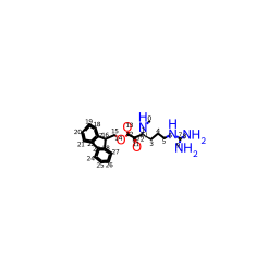 CN[C@@H](CCCNC(N)N)C(=O)C(=O)OCC1c2ccccc2-c2ccccc21